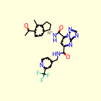 CC(=O)c1ccc2c(c1C)CC[C@@H]2NC(=O)c1cc(C(=O)NCc2ccnc(C(F)(F)F)c2)nc2ncnn12